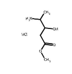 COC(=O)CC(O)C(C)N.Cl